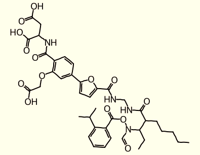 CCCCCC(C(=O)NCNC(=O)c1ccc(-c2ccc(C(=O)NC(CC(=O)O)C(=O)O)c(OCC(=O)O)c2)o1)C(CC)N(C=O)OC(=O)c1ccccc1C(C)C